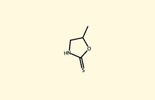 CC1CNC(=S)O1